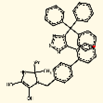 CCCC1(C)NC(O)=C(O)N1Cc1ccc(-c2ccccc2-c2nnnn2C(c2ccccc2)(c2ccccc2)c2ccccc2)cc1